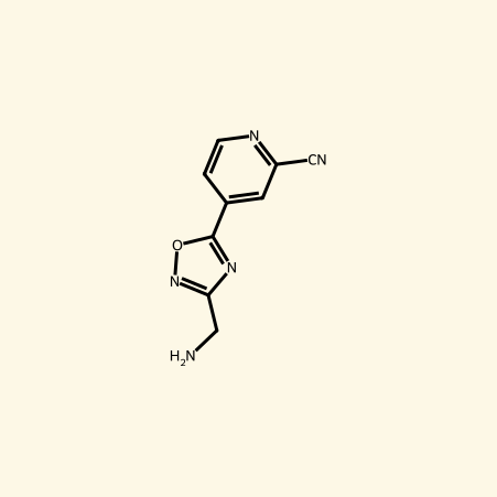 N#Cc1cc(-c2nc(CN)no2)ccn1